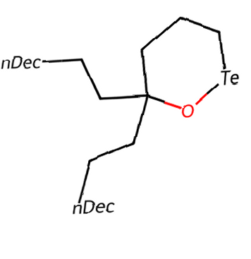 CCCCCCCCCCCCC1(CCCCCCCCCCCC)CCC[Te]O1